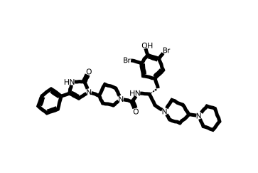 O=C(N[C@H](Cc1cc(Br)c(O)c(Br)c1)CN1CCC(N2CCCCC2)CC1)N1CCC(n2cc(-c3ccccc3)[nH]c2=O)CC1